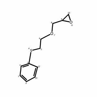 c1ccc(SCCOCC2CO2)cc1